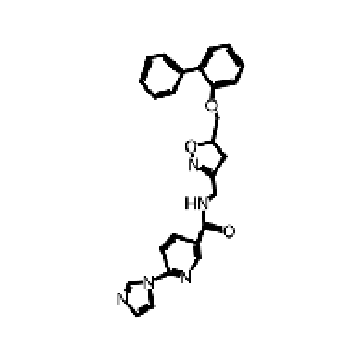 O=C(NCC1=NOC(COc2ccccc2-c2ccccc2)C1)c1ccc(-n2ccnc2)nc1